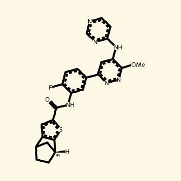 COc1nnc(-c2ccc(F)c(NC(=O)c3cc4c(s3)[C@@H]3CCC4C3)c2)cc1Nc1ccncn1